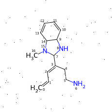 C=C/C=C(\CCN)C1NC2C=CC=CC2N1C